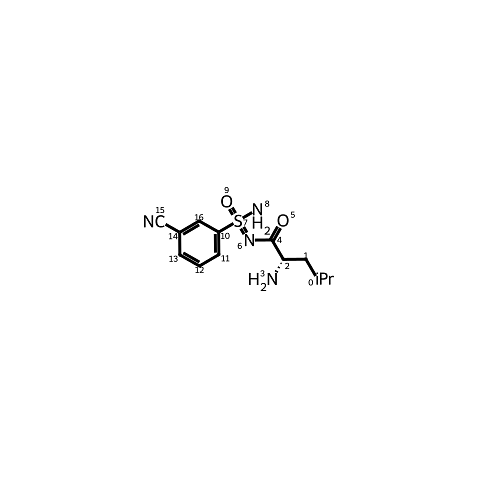 CC(C)C[C@H](N)C(=O)N=S(N)(=O)c1cccc(C#N)c1